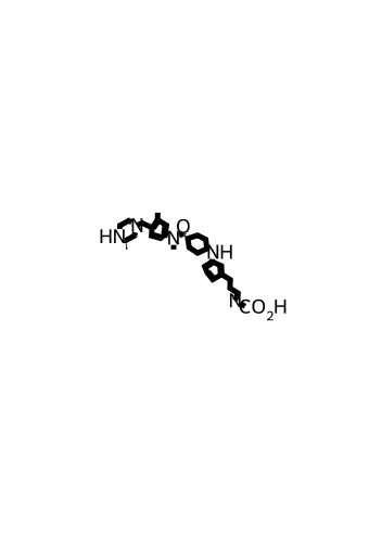 Cc1cc(N(C)C(=O)[C@H]2CC[C@H](Nc3cccc(CCCN(C)C(=O)O)c3)CC2)ccc1CN1CCN[C@@H](C)C1